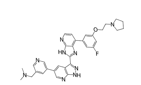 CN(C)Cc1cncc(-c2cnc3[nH]nc(-c4nc5c(-c6cc(F)cc(OCCN7CCCC7)c6)ccnc5[nH]4)c3c2)c1